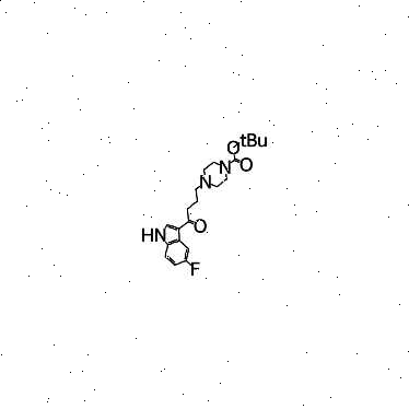 CC(C)(C)OC(=O)N1CCN(CCCC(=O)c2c[nH]c3ccc(F)cc23)CC1